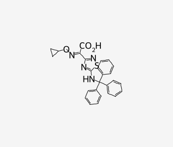 O=C(O)/C(=N\OC1CC1)c1nsc(NC(c2ccccc2)(c2ccccc2)c2ccccc2)n1